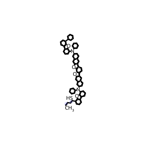 C/C=C\C=C(/S)c1cccc2c1oc1c(N(c3ccccc3)c3ccc4cc5c(cc4c3)oc3c5ccc4c5cc6ccc(N(c7ccccc7)c7cccc8c7oc7c(-c9ccccc9)cccc78)cc6cc5oc43)cccc12